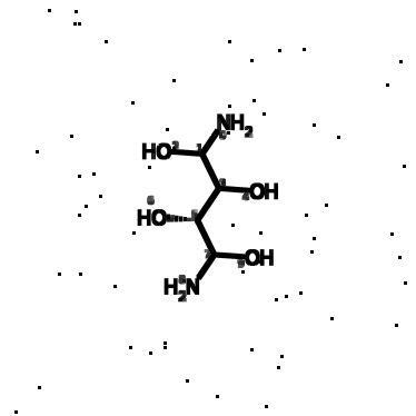 NC(O)C(O)[C@@H](O)C(N)O